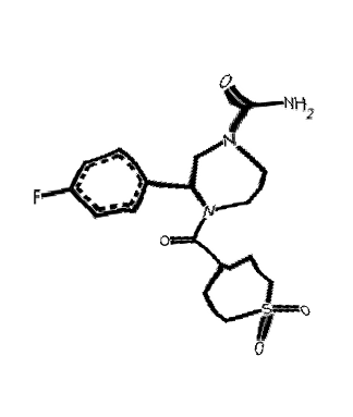 NC(=O)N1CCN(C(=O)C2CCS(=O)(=O)CC2)C(c2ccc(F)cc2)C1